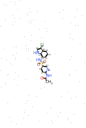 CC(=O)Nc1ccc(S(=O)(=O)Nc2cccc3c(Cl)c[nH]c23)cn1